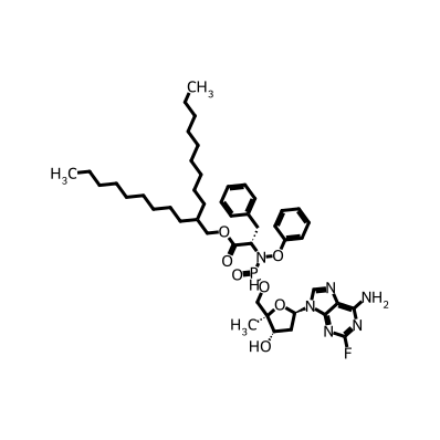 CCCCCCCCCC(CCCCCCCCC)COC(=O)[C@H](Cc1ccccc1)N(Oc1ccccc1)[PH](=O)OC[C@@]1(C)O[C@@H](n2cnc3c(N)nc(F)nc32)C[C@@H]1O